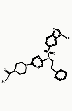 Cc1coc2ccc(S(=O)(=O)N(CCc3ccccc3)c3ccc(N4CCN(C(=O)OC(C)(C)C)CC4)nc3)cc12